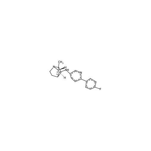 C[C@@H]1[C@@H](Nc2ccc(-c3ccc(F)cc3)nc2)C2CCN1CC2